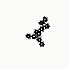 c1ccc(-c2ccc(N(c3ccc(-c4ccccc4)cc3)c3ccc4c5c(cccc35)Sc3cc(N(c5ccccc5)c5cccc6c5oc5ccccc56)ccc3-4)cc2)cc1